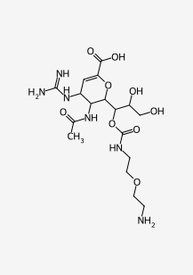 CC(=O)NC1C(NC(=N)N)C=C(C(=O)O)OC1C(OC(=O)NCCOCCN)C(O)CO